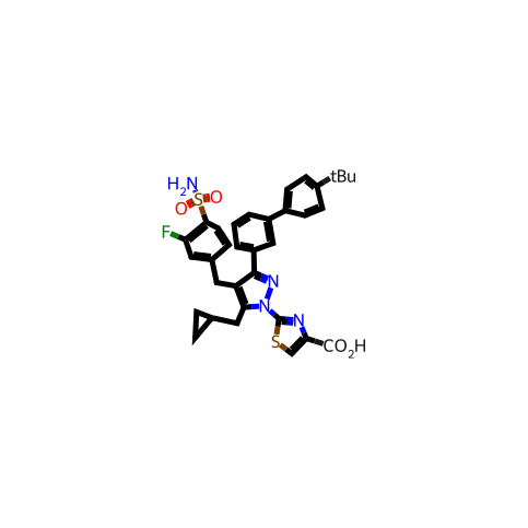 CC(C)(C)c1ccc(-c2cccc(-c3nn(-c4nc(C(=O)O)cs4)c(CC4CC4)c3Cc3ccc(S(N)(=O)=O)c(F)c3)c2)cc1